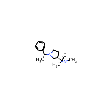 CNC(C)(C)[C@@H]1CCN([C@H](C)c2ccccc2)C1